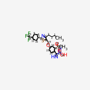 CCCCc1nc(-c2ccc(C(F)(F)F)cc2)sc1COc1ccc(C(=N)NO)c(S(C)(=O)=O)c1